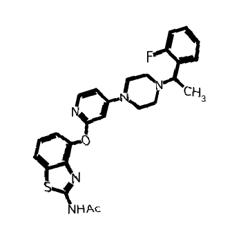 CC(=O)Nc1nc2c(Oc3cc(N4CCN(C(C)c5ccccc5F)CC4)ccn3)cccc2s1